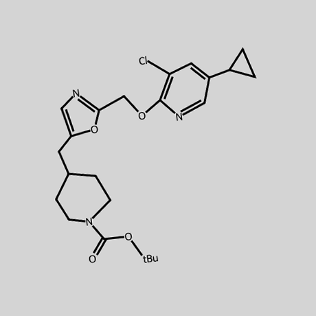 CC(C)(C)OC(=O)N1CCC(Cc2cnc(COc3ncc(C4CC4)cc3Cl)o2)CC1